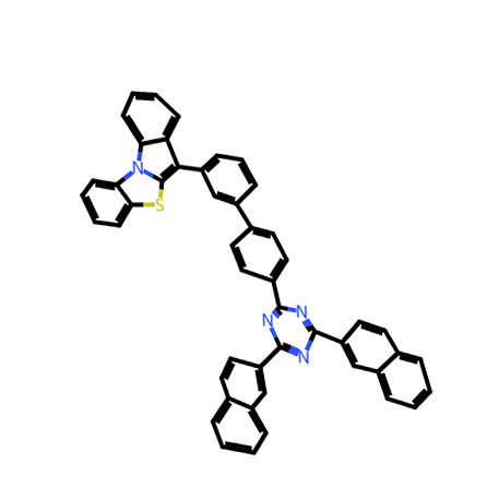 c1cc(-c2ccc(-c3nc(-c4ccc5ccccc5c4)nc(-c4ccc5ccccc5c4)n3)cc2)cc(-c2c3ccccc3n3c2sc2ccccc23)c1